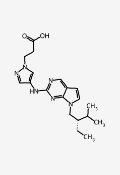 CC[C@H](Cn1ccc2cnc(Nc3cnn(CCC(=O)O)c3)nc21)C(C)C